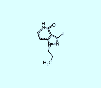 CCCn1nc(I)c2c(=O)[nH]ccc21